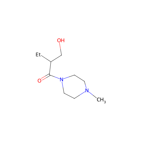 CCC(CO)C(=O)N1CCN(C)CC1